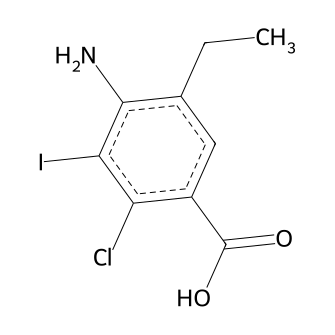 CCc1cc(C(=O)O)c(Cl)c(I)c1N